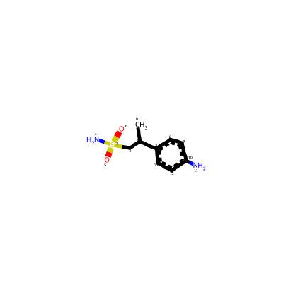 CC(CS(N)(=O)=O)c1ccc(N)cc1